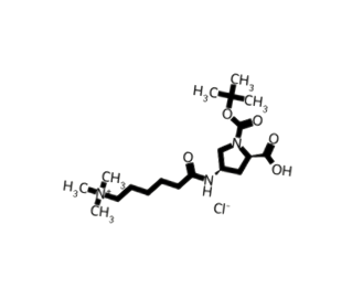 CC(C)(C)OC(=O)N1C[C@@H](NC(=O)CCCCC[N+](C)(C)C)C[C@@H]1C(=O)O.[Cl-]